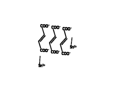 O=C([O-])C=CC(=O)[O-].O=C([O-])C=CC(=O)[O-].O=C([O-])C=CC(=O)[O-].[CH3][Sn+3].[CH3][Sn+3]